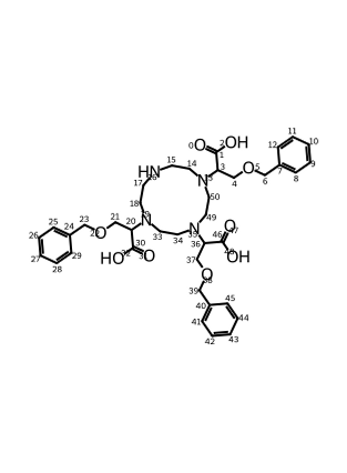 O=C(O)C(COCc1ccccc1)N1CCNCCN(C(COCc2ccccc2)C(=O)O)CCN(C(COCc2ccccc2)C(=O)O)CC1